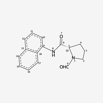 O=CN1CCC[C@H]1C(=O)Nc1cccc2ccccc12